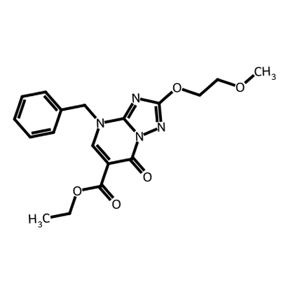 CCOC(=O)c1cn(Cc2ccccc2)c2nc(OCCOC)nn2c1=O